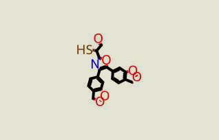 O=CC(S)c1nc(-c2ccc3c(c2)OOC3)c(-c2ccc3c(c2)OOC3)o1